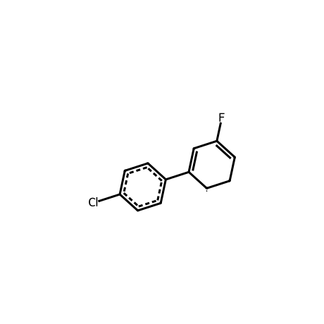 FC1=CC[CH]C(c2ccc(Cl)cc2)=C1